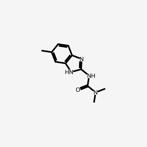 Cc1ccc2nc(NC(=O)N(C)C)[nH]c2c1